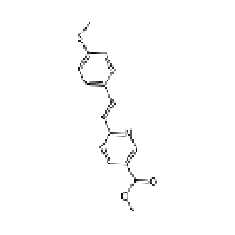 COC(=O)c1ccc(C=Cc2ccc(SC)cc2)nc1